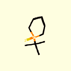 CC(C)(C)P1(=S)CCCCC1